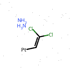 ClC(Cl)=[CH][Pt].N.N